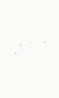 Cc1cc2cc(C(=O)O)oc2cc1N(C)C